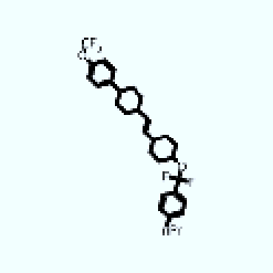 CCCc1ccc(C(F)(F)OC2CCC(/C=C/C3CCC(c4ccc(OC(F)(F)F)cc4)CC3)CC2)cc1